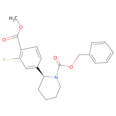 COC(=O)c1ccc([C@@H]2CCCCN2C(=O)OCc2ccccc2)cc1F